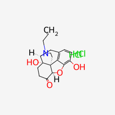 C=CCN1CC[C@]23c4c5ccc(O)c4O[C@H]2C(=O)CC[C@@]3(O)[C@H]1C5.Cl.Cl